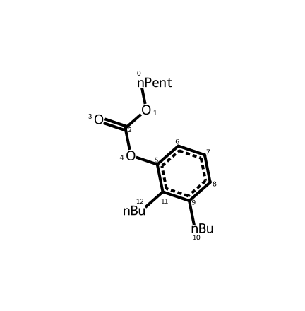 CCCCCOC(=O)Oc1cccc(CCCC)c1CCCC